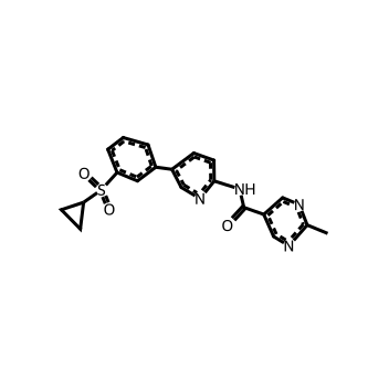 Cc1ncc(C(=O)Nc2ccc(-c3cccc(S(=O)(=O)C4CC4)c3)cn2)cn1